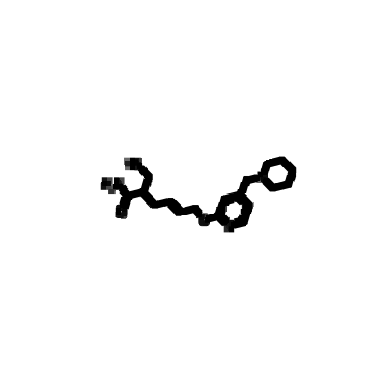 NC(=O)C(CS)CC=CCOc1cc(CN2CCCCC2)ccn1